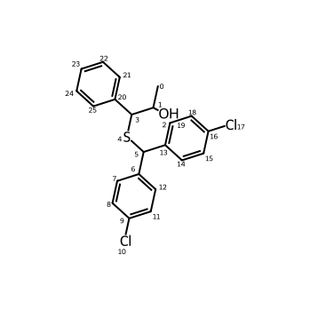 CC(O)C(SC(c1ccc(Cl)cc1)c1ccc(Cl)cc1)c1ccccc1